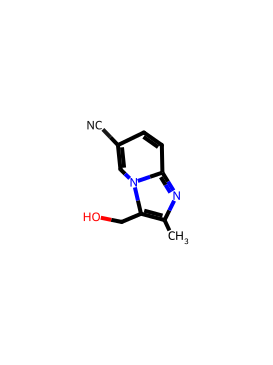 Cc1nc2ccc(C#N)cn2c1CO